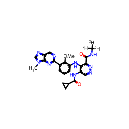 [2H]C([2H])([2H])NC(=O)c1nncc(NC(=O)C2CC2)c1Nc1cccc(-c2ncc3ncn(C)c3n2)c1OC